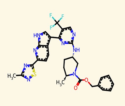 Cc1nsc(-c2ccc3c(-c4nc(N[C@H]5CC[C@H](C)N(C(=O)OCc6ccccc6)C5)ncc4C(F)(F)F)c[nH]c3n2)n1